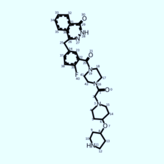 O=C(CN1CCC(OC2CCNCC2)CC1)N1CCN(C(=O)c2cc(Cc3n[nH]c(=O)c4ccccc34)ccc2F)CC1